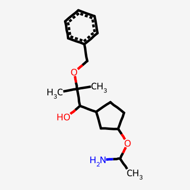 CC(N)OC1CCC(C(O)C(C)(C)OCc2ccccc2)C1